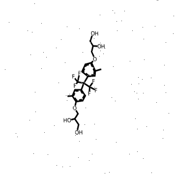 Cc1cc(C(c2ccc(OCC(O)CO)c(C)c2)(C(F)(F)F)C(F)(F)F)ccc1OCC(O)CO